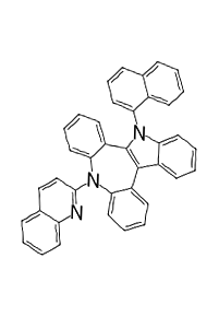 c1ccc2c(c1)-c1c(n(-c3cccc4ccccc34)c3ccccc13)-c1ccccc1N2c1ccc2ccccc2n1